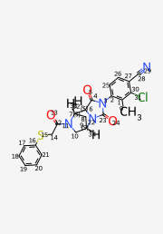 Cc1c(N2C(=O)[C@@H]3[C@@H]4C[C@@H](CN4C(=O)CSc4ccccc4)N3C2=O)ccc(C#N)c1Cl